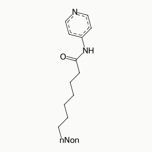 CCCCCCCCCCCCCCCC(=O)Nc1ccncc1